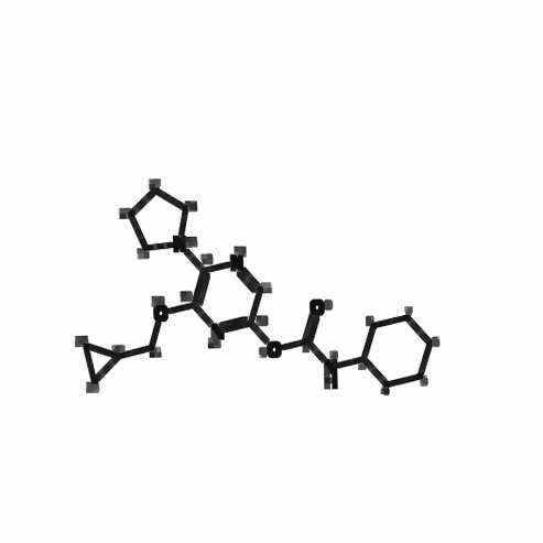 O=C(NC1CCCCC1)Oc1cnc(N2CCCC2)c(OCC2CC2)n1